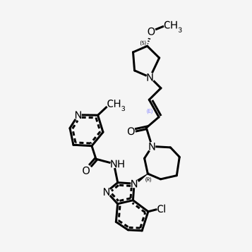 CO[C@H]1CCN(C/C=C/C(=O)N2CCCC[C@@H](n3c(NC(=O)c4ccnc(C)c4)nc4cccc(Cl)c43)C2)C1